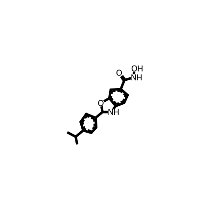 CC(C)c1ccc(C2Nc3ccc(C(=O)NO)cc3O2)cc1